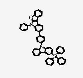 c1ccc(-n2c3cc(-c4ccc(-n5c6ccccc6c6cc([Si](c7ccccc7)(c7ccccc7)c7ccccc7)ccc65)cc4)ccc3c3c4ccccc4oc32)cc1